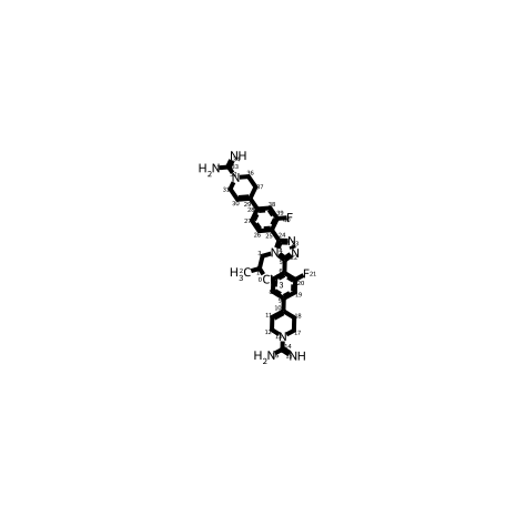 CC(C)Cn1c(-c2ccc(C3=CCN(C(=N)N)CC3)cc2F)nnc1-c1ccc(C2=CCN(C(=N)N)CC2)cc1F